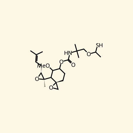 COC1C(OC(=O)NC(C)(C)COC(C)S)CC[C@]2(CO2)C1[C@@]1(C)O[C@@H]1CC=C(C)C